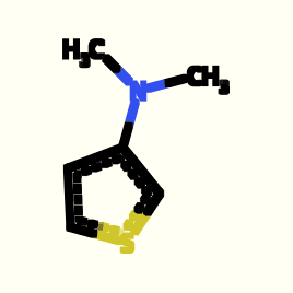 CN(C)c1ccsc1